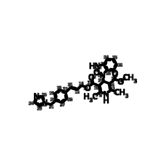 COC(=O)C1=C(C)NC(C)=C(C(=O)OCC=Cc2ccc(Cn3ccnc3)cc2)C1N1ONc2ccccc21